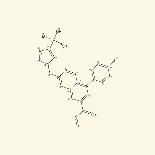 C=NC(=O)c1cc(-c2ccc(F)cc2)c2ccc(Cn3cnc([C@](O)(CC)C(F)(F)F)c3)cc2n1